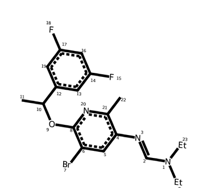 CCN(C=Nc1cc(Br)c(OC(C)c2cc(F)cc(F)c2)nc1C)CC